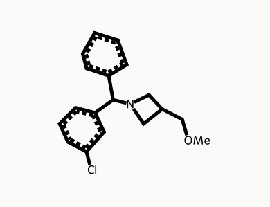 COCC1CN(C(c2ccccc2)c2cccc(Cl)c2)C1